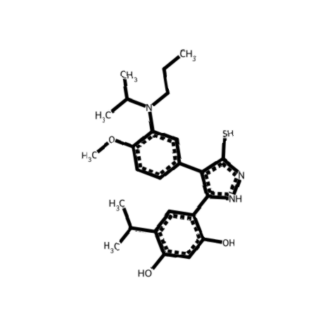 CCCN(c1cc(-c2c(S)n[nH]c2-c2cc(C(C)C)c(O)cc2O)ccc1OC)C(C)C